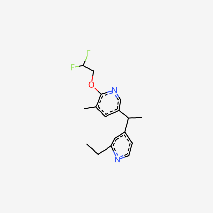 CCc1cc(C(C)c2cnc(OCC(F)F)c(C)c2)ccn1